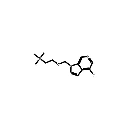 C[Si](C)(C)CCOCn1ncc2c(Cl)cncc21